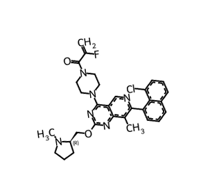 C=C(F)C(=O)N1CCN(c2nc(OC[C@H]3CCCN3C)nc3c(C)c(-c4cccc5cccc(Cl)c45)ncc23)CC1